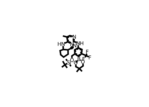 Cc1cnc(Nc2cc(CO[Si](C)(C)C(C)(C)C)c(B3OCC(C)(C)CO3)c(C(F)(F)F)c2)nc1NC1CCCCC1C#N